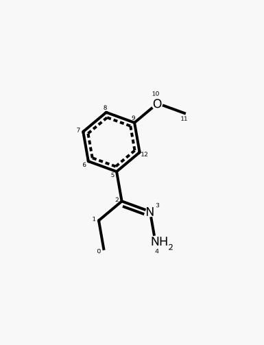 CCC(=NN)c1cccc(OC)c1